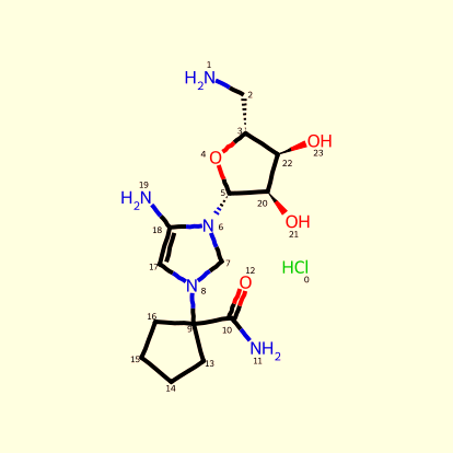 Cl.NC[C@H]1O[C@@H](N2CN(C3(C(N)=O)CCCC3)C=C2N)[C@H](O)[C@@H]1O